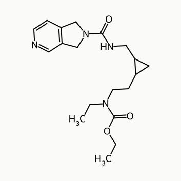 CCOC(=O)N(CC)CCC1CC1CNC(=O)N1Cc2ccncc2C1